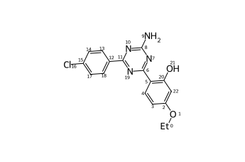 CCOc1ccc(-c2nc(N)nc(-c3ccc(Cl)cc3)n2)c(O)c1